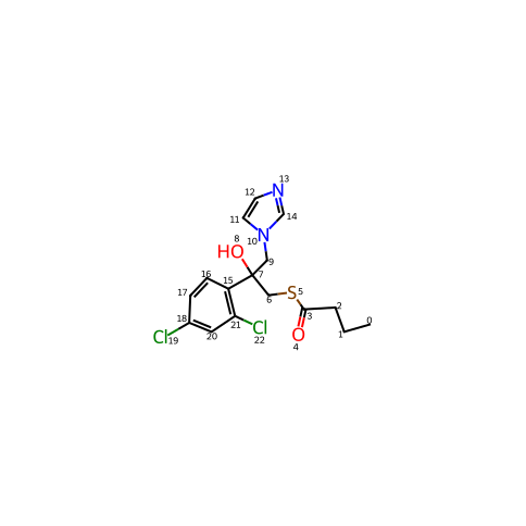 CCCC(=O)SCC(O)(Cn1ccnc1)c1ccc(Cl)cc1Cl